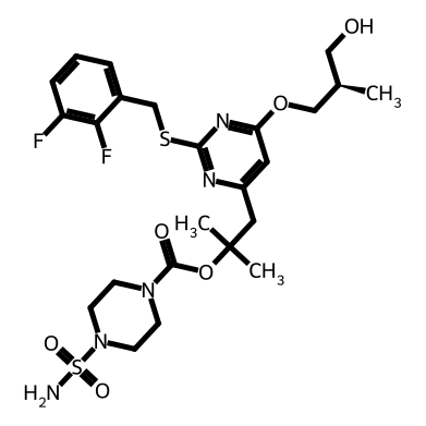 C[C@H](CO)COc1cc(CC(C)(C)OC(=O)N2CCN(S(N)(=O)=O)CC2)nc(SCc2cccc(F)c2F)n1